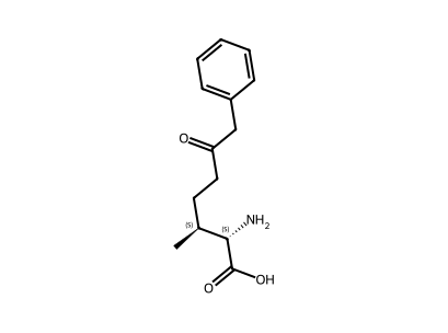 C[C@@H](CCC(=O)Cc1ccccc1)[C@H](N)C(=O)O